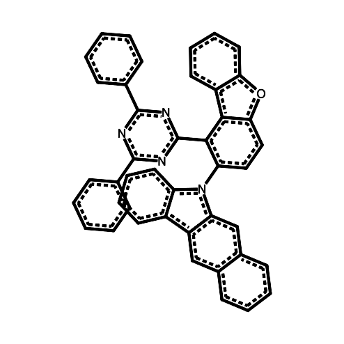 c1ccc(-c2nc(-c3ccccc3)nc(-c3c(-n4c5ccccc5c5cc6ccccc6cc54)ccc4oc5ccccc5c34)n2)cc1